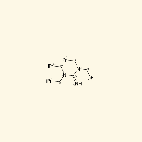 CC(C)CN(CC(C)C)C(=N)N(CC(C)C)CC(C)C